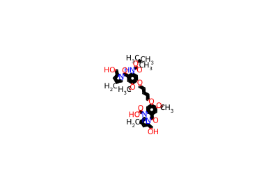 C=C1CC(CO)N(C(=O)c2cc(OC)c(OCCCCCOc3cc(NC(=O)OC(C)(C)C)c(C(=O)N4CC(=C)CC4CO)cc3OC)cc2NC(=O)O)C1